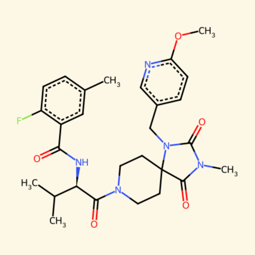 COc1ccc(CN2C(=O)N(C)C(=O)C23CCN(C(=O)[C@H](NC(=O)c2cc(C)ccc2F)C(C)C)CC3)cn1